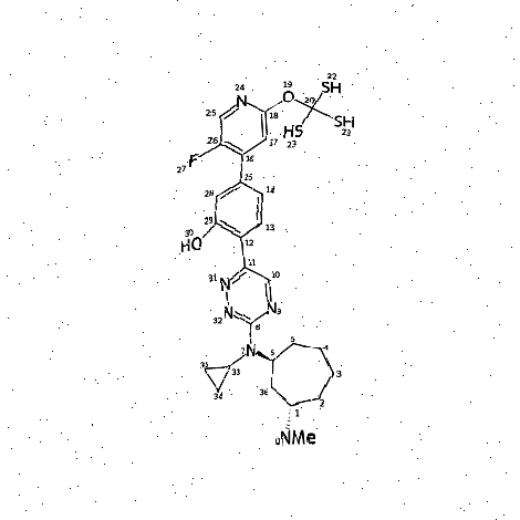 CN[C@H]1CCCC[C@H](N(c2ncc(-c3ccc(-c4cc(OC(S)(S)S)ncc4F)cc3O)nn2)C2CC2)C1